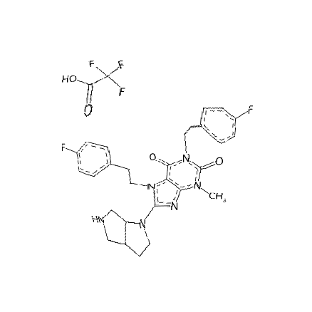 Cn1c(=O)n(Cc2ccc(F)cc2)c(=O)c2c1nc(N1CCC3CNCC31)n2CCc1ccc(F)cc1.O=C(O)C(F)(F)F